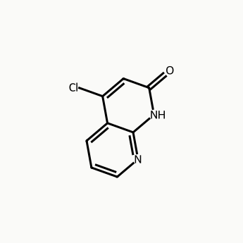 O=c1cc(Cl)c2cccnc2[nH]1